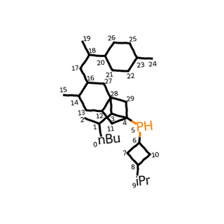 CCCCC(C)C1C2(PC3CC(C(C)C)C3)CC3CC(C)C(CC(C)C4CCC(C)CC4)CC31C2